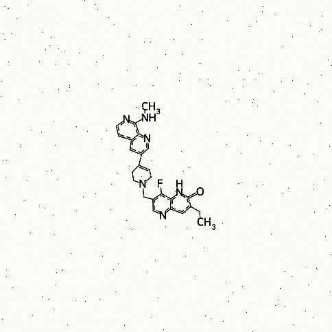 CCc1cc2ncc(CN3CC=C(c4cnc5c(NC)nccc5c4)CC3)c(F)c2[nH]c1=O